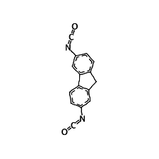 O=C=Nc1ccc2c(c1)Cc1ccc(N=C=O)cc1-2